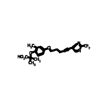 Cc1cc(OCCCC#Cc2cnc(C(F)(F)F)nc2)ccc1OC(C)(C)C(=O)O